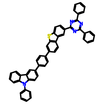 c1ccc(-c2nc(-c3ccccc3)nc(-c3ccc4sc5cc(-c6ccc(-c7ccc8c(c7)c7ccccc7n8-c7ccccc7)cc6)ccc5c4c3)n2)cc1